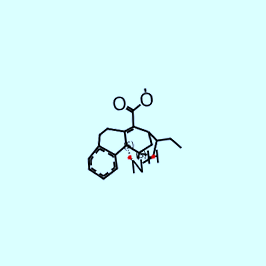 CCC1CN2CC[C@]34C(=C(C(=O)OC)C1C[C@H]23)CCc1ccccc14